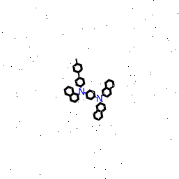 Cc1ccc(-c2ccc(N(c3ccc(N(c4ccc5ccccc5c4)c4ccc5ccccc5c4)cc3)c3cccc4ccccc34)cc2)cc1